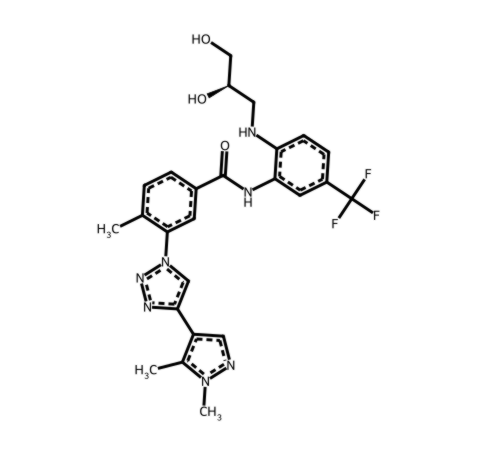 Cc1ccc(C(=O)Nc2cc(C(F)(F)F)ccc2NC[C@@H](O)CO)cc1-n1cc(-c2cnn(C)c2C)nn1